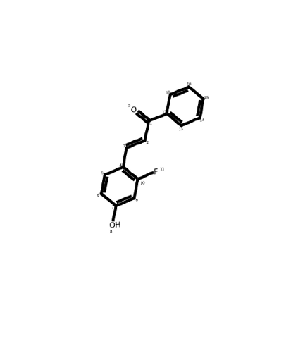 O=C(C=Cc1ccc(O)cc1F)c1ccccc1